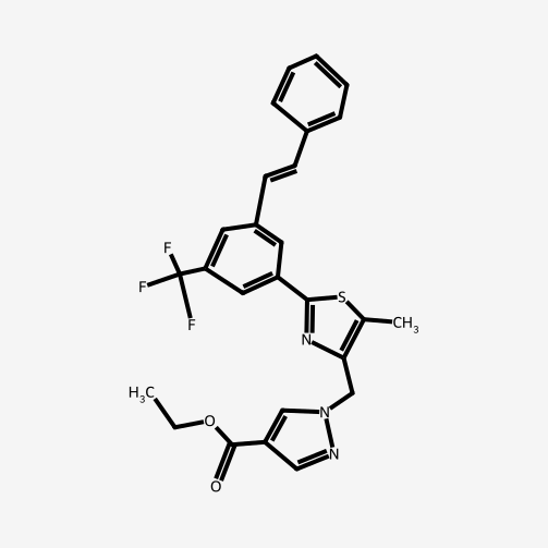 CCOC(=O)c1cnn(Cc2nc(-c3cc(C=Cc4ccccc4)cc(C(F)(F)F)c3)sc2C)c1